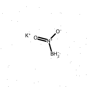 [BH2-][N+](=O)[O-].[K+]